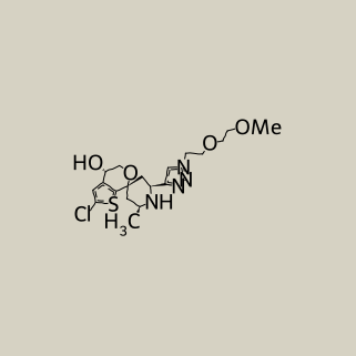 COCCOCCn1cc([C@@H]2C[C@]3(C[C@H](C)N2)OC[C@@H](O)c2cc(Cl)sc23)nn1